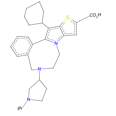 CC(C)N1CCC(N2CCn3c(c(C4CCCCC4)c4sc(C(=O)O)cc43)-c3ccccc3C2)C1